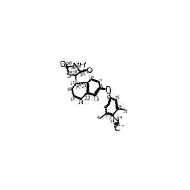 [C-]#[N+]c1c(C)cc(Oc2ccc3c(c2)CCC[C@H]3C2SC(=O)NC2=O)cc1C